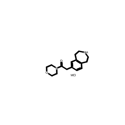 Cl.O=C(Cc1ccc2c(c1)CCNCC2)N1CCOCC1